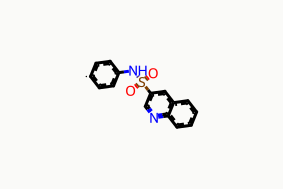 O=S(=O)(Nc1cc[c]cc1)c1cnc2ccccc2c1